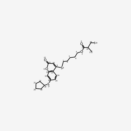 O=C(OCCCCCSc1cc(=O)oc2cc(SC3CCCC3)ccc12)C(I)CI